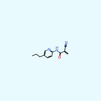 C=C(C#N)C(=O)Nc1ccc(CCC)cn1